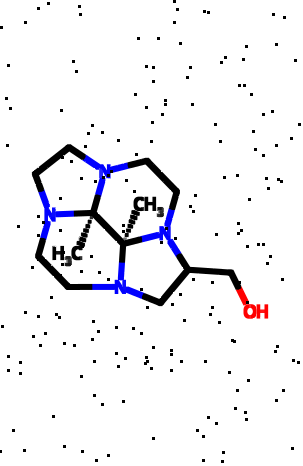 C[C@]12N3CCN1CCN1C(CO)CN(CC3)[C@]12C